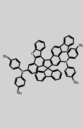 CC(C)(C)c1ccc(N(c2ccc(C(C)(C)C)cc2)c2ccc3c4c(c5c6ccccc6oc5c3c2)-c2c(cc(N(c3ccc(C(C)(C)C)cc3)c3ccc(C(C)(C)C)cc3)c3c2ccc2c5ccccc5oc23)C42c3ccccc3-c3ccccc32)cc1